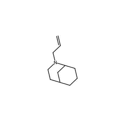 C=CCN1CCC2CCCC1C2